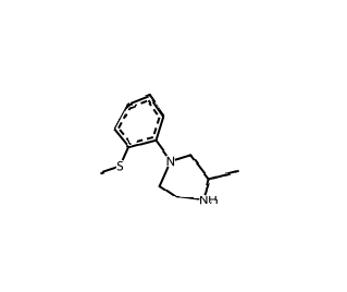 CSc1ccccc1N1CCNC(C)C1